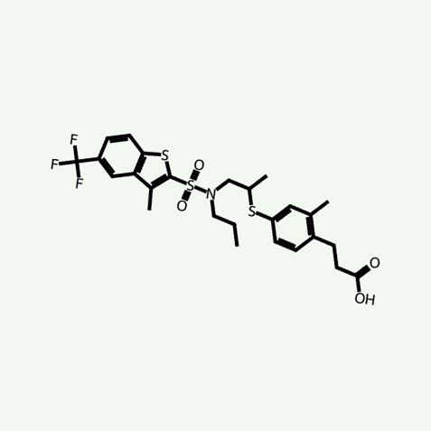 CCCN(CC(C)Sc1ccc(CCC(=O)O)c(C)c1)S(=O)(=O)c1sc2ccc(C(F)(F)F)cc2c1C